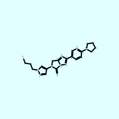 O=C1N(c2cnn(CCCI)c2)Cc2nc(-c3ccc(N4CCCC4)nc3)nn21